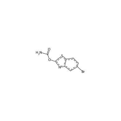 NC(=O)Oc1nc2cc(Br)ccc2s1